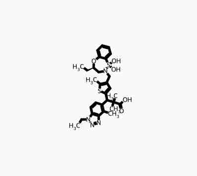 CC[C@@H]1CN(Cc2cc(C(c3ccc4c(nnn4CC)c3C)C(C)(C)C(=O)O)sc2C)S(O)(O)c2ccccc2O1